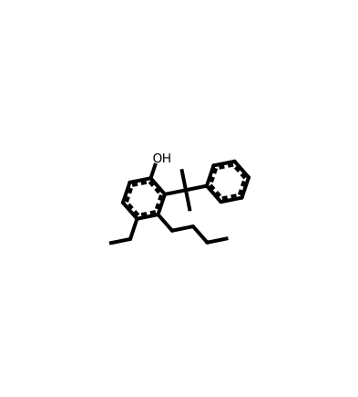 CCCCc1c(CC)ccc(O)c1C(C)(C)c1ccccc1